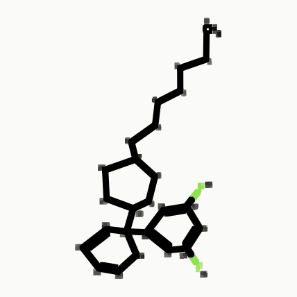 CCCCCCCC1CCC(C2(c3cc(F)cc(F)c3)C=CC=CC2)CC1